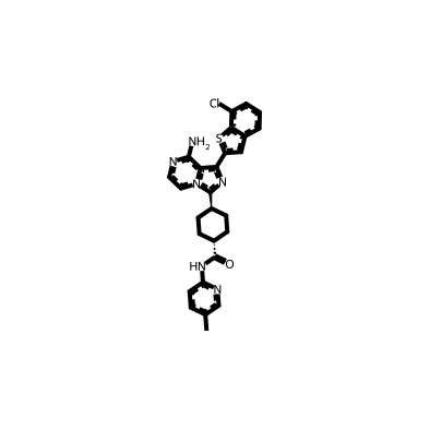 Cc1ccc(NC(=O)[C@H]2CC[C@H](c3nc(-c4cc5cccc(Cl)c5s4)c4c(N)nccn43)CC2)nc1